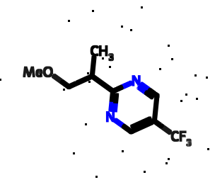 COCC(C)c1ncc(C(F)(F)F)cn1